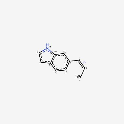 CCC/C=C\c1ccc2cc[nH]c2c1